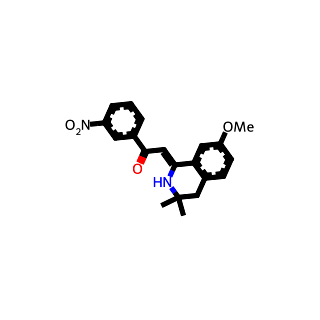 COc1ccc2c(c1)/C(=C/C(=O)c1cccc([N+](=O)[O-])c1)NC(C)(C)C2